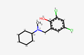 CN(Cc1cc(Cl)cc(Cl)c1O)C1CCCCC1